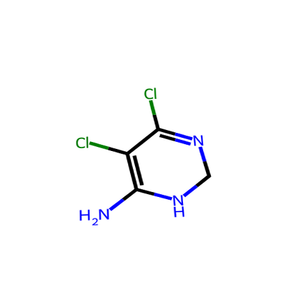 NC1=C(Cl)C(Cl)=NCN1